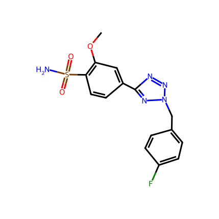 COc1cc(-c2nnn(Cc3ccc(F)cc3)n2)ccc1S(N)(=O)=O